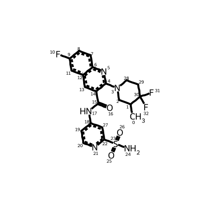 CC1CN(c2nc3ccc(F)cc3cc2C(=O)Nc2ccnc(S(N)(=O)=O)c2)CCC1(F)F